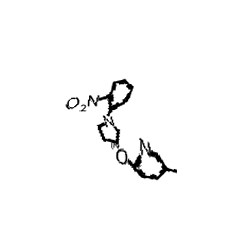 Cc1ccc(O[C@@H]2CCN(c3ccccc3[N+](=O)[O-])C2)nc1